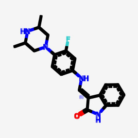 CC1CN(c2ccc(N/C=C3/C(=O)Nc4ccccc43)cc2F)CC(C)N1